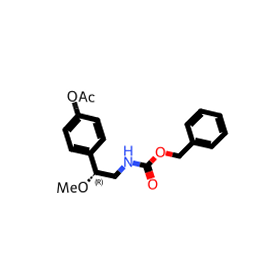 CO[C@@H](CNC(=O)OCc1ccccc1)c1ccc(OC(C)=O)cc1